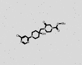 CC(C)(C)OC(=O)N1CCN(CC2(O)CCN(c3cc(Cl)ncn3)CC2)C(=O)C1